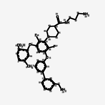 Cc1ccc(C(=O)O)c(Oc2nc(Oc3cccc(-c4cccc(CN)c4)c3)c(F)c(N3CCC(C(=O)NCCCN)CC3)c2F)c1